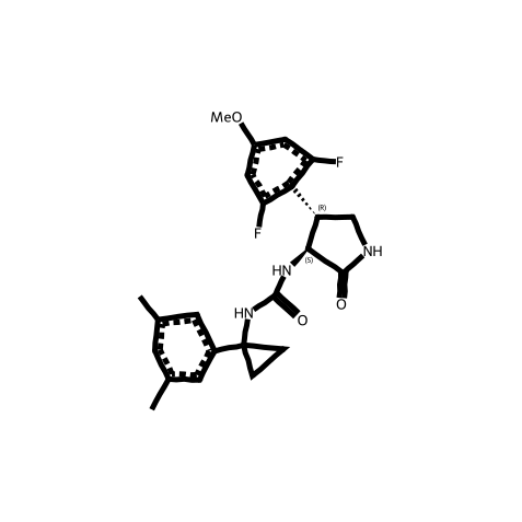 COc1cc(F)c([C@@H]2CNC(=O)[C@H]2NC(=O)NC2(c3cc(C)cc(C)c3)CC2)c(F)c1